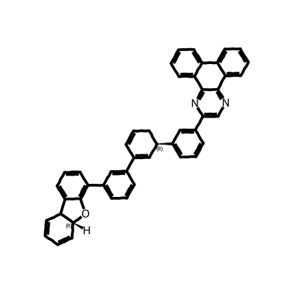 C1=CC2c3cccc(-c4cccc(C5=C[C@H](c6cccc(-c7cnc8c9ccccc9c9ccccc9c8n7)c6)CC=C5)c4)c3O[C@@H]2C=C1